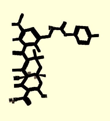 C=C(NCc1cc(N(C)C)c(C)c(C(=C)C2=C(C)[C@]3(O)C(=C)C(C(=C)N)=C(O)C[C@]3(C)CC2(C)C)c1C)Oc1ccc(C)cc1